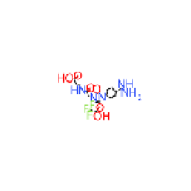 N=C(N)c1ccc(-n2ccn(CC(=O)NCCC(=O)O)c2=O)cc1.O=C(O)C(F)(F)F